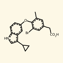 Cc1cc(CC(=O)O)cc(Br)c1Oc1ccc2[nH]cc(C3CC3)c2c1